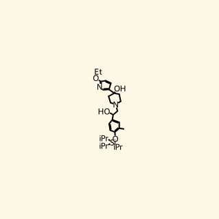 CCOc1ccc(C2(O)CCN(CC(O)c3ccc(O[Si](C(C)C)(C(C)C)C(C)C)c(C)c3)CC2)cn1